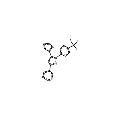 FC(F)(F)c1ccc(-n2nc(-c3ccncc3)cc2-c2cccs2)cc1